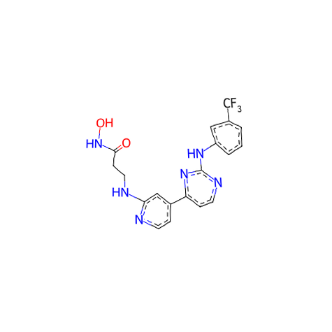 O=C(CCNc1cc(-c2ccnc(Nc3cccc(C(F)(F)F)c3)n2)ccn1)NO